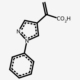 C=C(C(=O)O)c1cnn(-c2ccccc2)c1